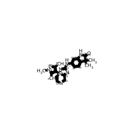 Cc1nn(C)c(C)c1[N+]12C=CN=CC1=NC(Nc1ccc3c(c1)NC(=O)C3(C)C)=N2